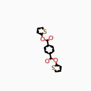 O=C(Oc1cccs1)c1ccc(C(=O)Oc2cccs2)cc1